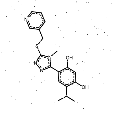 CC(C)c1cc(-c2nnc(SCc3cccnc3)n2C)c(O)cc1O